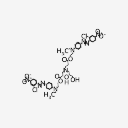 CCN(CCOC(=O)CCN(CCC(=O)OCCN(CC)c1ccc(/N=N/c2ccc([N+](=O)[O-])cc2Cl)cc1)CC(O)CO)c1ccc(/N=N/c2ccc([N+](=O)[O-])cc2Cl)cc1